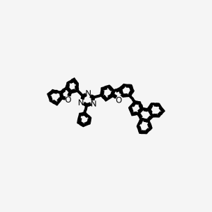 c1ccc(-c2nc(-c3ccc4c(c3)oc3c(-c5ccc6c7ccccc7c7ccccc7c6c5)cccc34)nc(-c3cccc4c3oc3ccccc34)n2)cc1